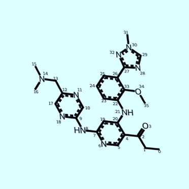 CCC(=O)c1cnc(Nc2cnc(CN(C)C)cn2)cc1Nc1cccc(-c2ncn(C)n2)c1OC